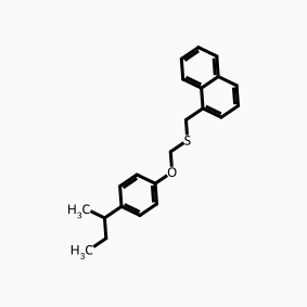 CCC(C)c1ccc(OCSCc2cccc3ccccc23)cc1